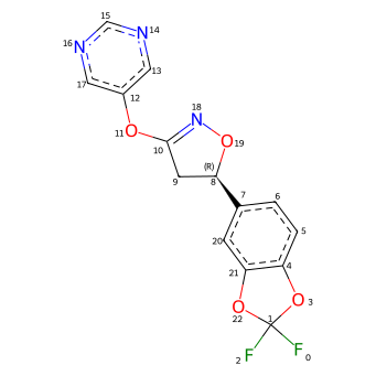 FC1(F)Oc2ccc([C@H]3CC(Oc4cncnc4)=NO3)cc2O1